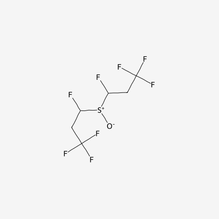 [O-][S+](C(F)CC(F)(F)F)C(F)CC(F)(F)F